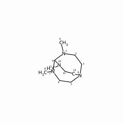 CN1CCN2CCN(C)C1N(C)CC2